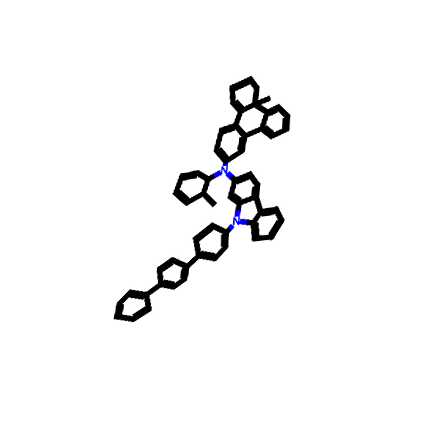 CC1C=CC=CC1N(c1ccc2c(c1)-c1ccccc1C1(C)CC=CC=C21)c1ccc2c3ccccc3n(-c3ccc(-c4ccc(-c5ccccc5)cc4)cc3)c2c1